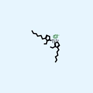 CCCCCCC1=CC[C]([Ti+2][C]2=C(CC)C(CCCCCC)=CC2)=C1CC.[Cl-].[Cl-]